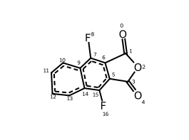 O=C1OC(=O)c2c1c(F)c1ccccc1c2F